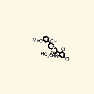 COc1cccc(C2(O)CCCN(Cc3c(OC(=O)O)[nH]c4cc(Cl)cc(Cl)c34)C2)c1